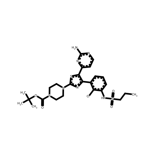 CCCS(=O)(=O)Nc1cccc(-c2nc(N3CCN(C(=O)OC(C)(C)C)CC3)sc2-c2ccnc(N)n2)c1Cl